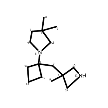 CC1(C)CCN(C2(CC3(C)CNC3)CCC2)C1